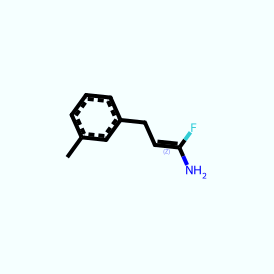 Cc1cccc(C/C=C(/N)F)c1